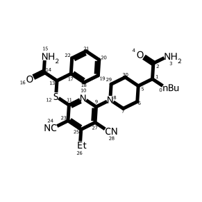 CCCCC(C(N)=O)C1CCN(c2nc(SC(C(N)=O)c3ccccc3)c(C#N)c(CC)c2C#N)CC1